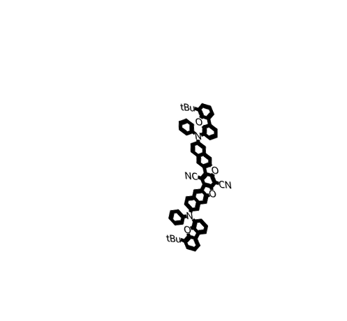 CC(C)(C)c1cccc2c1oc1c(N(c3ccccc3)c3ccc4cc5c(cc4c3)oc3c(C#N)c4oc6cc7cc(N(c8ccccc8)c8cccc9c8oc8c(C(C)(C)C)cccc89)ccc7cc6c4c(C#N)c35)cccc12